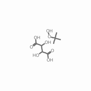 CC(C)(C)OO.O=C(O)C(O)C(O)C(=O)O